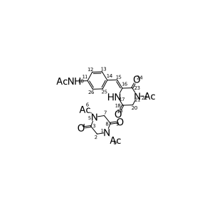 CC(=O)N1CC(=O)N(C(C)=O)CC1=O.CC(=O)Nc1ccc(C=C2NC(=O)CN(C(C)=O)C2=O)cc1